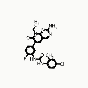 CCn1c(=O)c(-c2ccc(F)c(NC(=O)Nc3ccc(Cl)cc3C)c2)cc2cnc(N)nc21